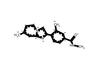 CNC(=O)c1ccc(-c2cn3ccc(C)cc3n2)c(C)c1